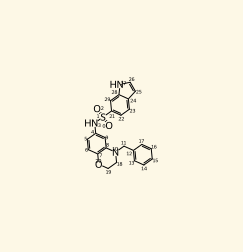 O=S(=O)(Nc1ccc2c(c1)N(Cc1ccccc1)CCO2)c1ccc2cc[nH]c2c1